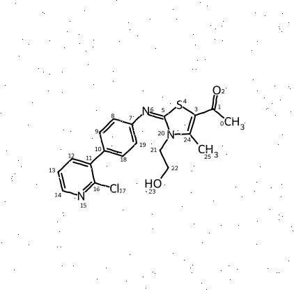 CC(=O)c1sc(=Nc2ccc(-c3cccnc3Cl)cc2)n(CCO)c1C